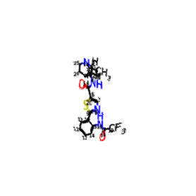 C[C@H]1[C@H](NC(=O)c2cnc(-c3ccccc3NC(=O)C(F)(F)F)s2)C2CCN1CC2